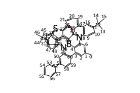 Cc1cc2c3c(c1)N(c1ccc(C(C)(C)C)cc1-c1ccccc1)c1ccc4sc5ccccc5c4c1B3N(c1ccc(C(C)(C)C)cc1)c1cc(-c3ccccc3)ccc1-2